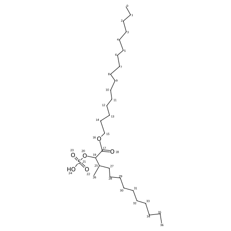 CCCCCCCCCCCCCCCCOC(=O)C(OS(=O)(=O)O)C(C)CCCCCCCCCC